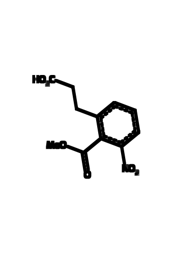 COC(=O)c1c(CCC(=O)O)cccc1[N+](=O)[O-]